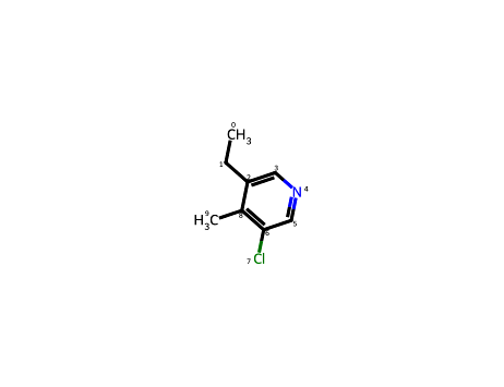 CCc1cncc(Cl)c1C